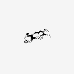 CN(OC(C)(C)C)[C@@H](CCCN(C(=N)N)[N+](=O)[O-])C(O)C(=O)O